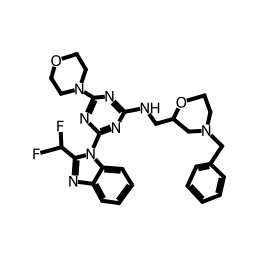 FC(F)c1nc2ccccc2n1-c1nc(NCC2CN(Cc3ccccc3)CCO2)nc(N2CCOCC2)n1